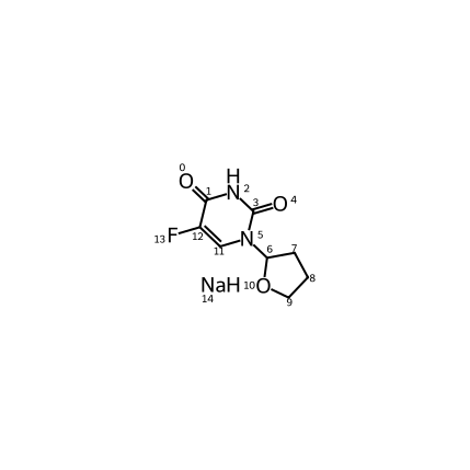 O=c1[nH]c(=O)n(C2CCCO2)cc1F.[NaH]